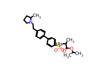 CC(C)OC(=O)C(C)[AsH]S(=O)(=O)c1ccc(-c2ccc(CCN3CCCC3C)cc2)cc1